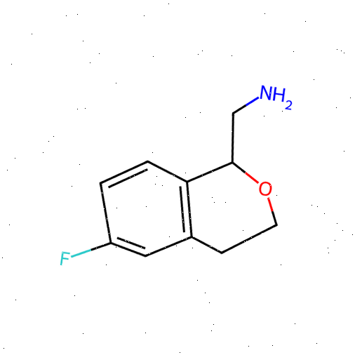 NCC1OCCc2cc(F)ccc21